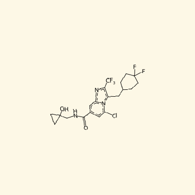 O=C(NCC1(O)CC1)c1cc(Cl)n2c(CC3CCC(F)(F)CC3)c(C(F)(F)F)nc2c1